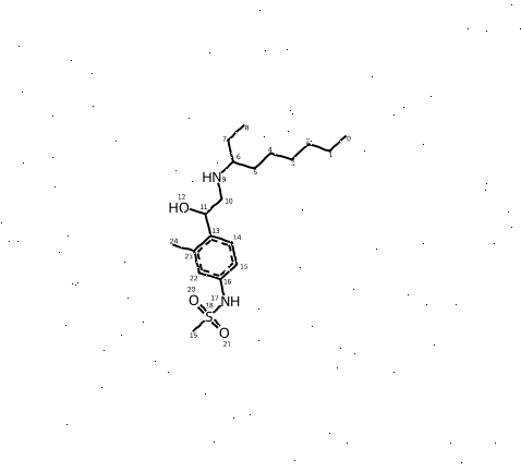 CCCCCCC(CC)NCC(O)c1ccc(NS(C)(=O)=O)cc1C